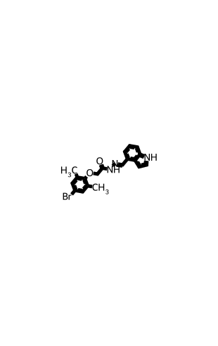 Cc1cc(Br)cc(C)c1OCC(=O)NN=Cc1cccc2[nH]ccc12